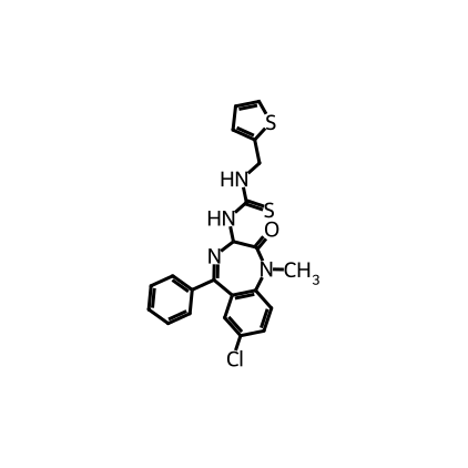 CN1C(=O)C(NC(=S)NCc2cccs2)N=C(c2ccccc2)c2cc(Cl)ccc21